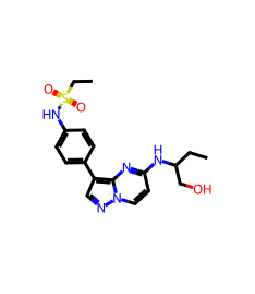 CCC(CO)Nc1ccn2ncc(-c3ccc(NS(=O)(=O)CC)cc3)c2n1